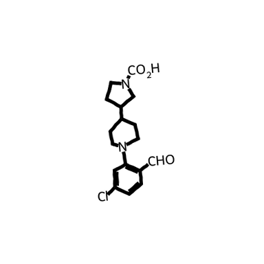 O=Cc1ccc(Cl)cc1N1CCC(C2CCN(C(=O)O)C2)CC1